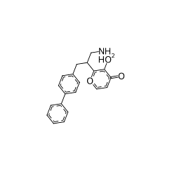 NCC(Cc1ccc(-c2ccccc2)cc1)c1occc(=O)c1O